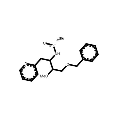 COC(COCc1ccccc1)C(Cc1ccccn1)N[S@+]([O-])C(C)(C)C